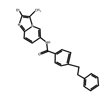 CCc1nc2ccc(NC(=O)c3ccc(CCc4ccccc4)cc3)cn2c1C